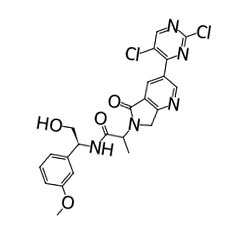 COc1cccc([C@@H](CO)NC(=O)C(C)N2Cc3ncc(-c4nc(Cl)ncc4Cl)cc3C2=O)c1